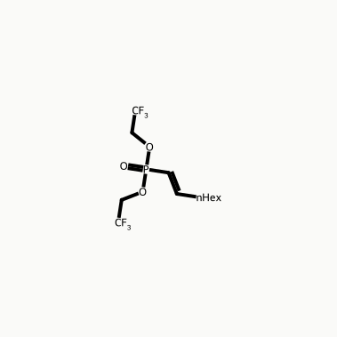 CCCCCCC=CP(=O)(OCC(F)(F)F)OCC(F)(F)F